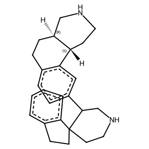 c1ccc2c(c1)CCC21CCNCC1c1ccc2c(c1)[C@H]1CCNC[C@@H]1CC2